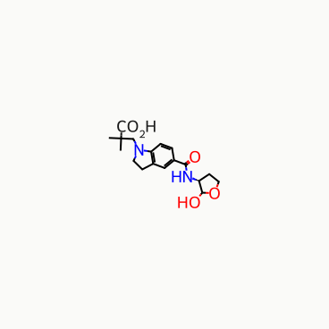 CC(C)(CN1CCc2cc(C(=O)N[C@H]3CCOC3O)ccc21)C(=O)O